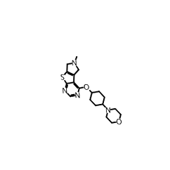 CN1Cc2sc3ncnc(OC4CCC(N5CCOCC5)CC4)c3c2C1